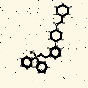 CC(C)(C)[Si](OCc1ccnc([C@H]2CC[C@H](OCC3COCCO3)CC2)n1)(c1ccccc1)c1ccccc1